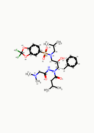 CC(C)CC(=O)N(NC(=O)CN(C)C)[C@@H](Cc1ccccc1)[C@H](O)CN(CC(C)C)S(=O)(=O)c1ccc2c(c1)OC(F)(F)O2